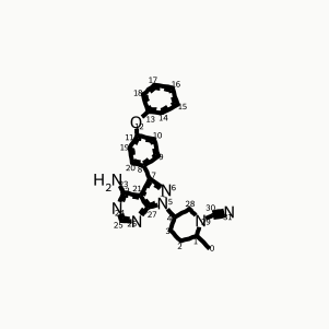 CC1CCC(n2nc(-c3ccc(Oc4ccccc4)cc3)c3c(N)ncnc32)CN1C#N